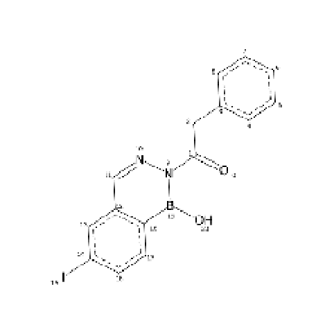 O=C(Cc1ccccc1)N1N=Cc2cc(I)ccc2B1O